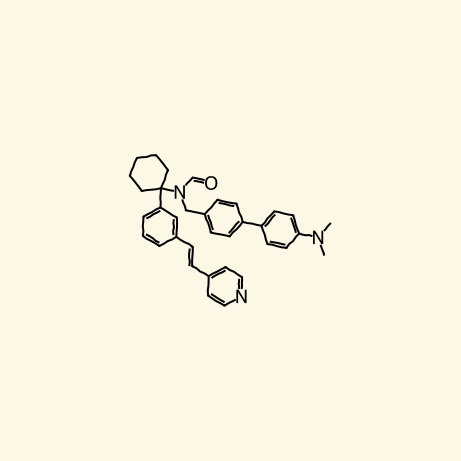 CN(C)c1ccc(-c2ccc(CN(C=O)C3(c4cccc(/C=C/c5ccncc5)c4)CCCCC3)cc2)cc1